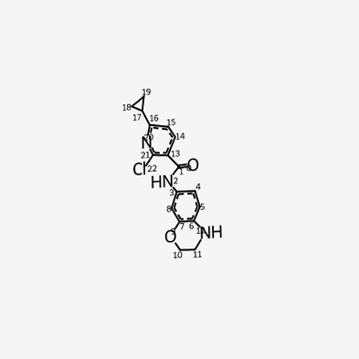 O=C(Nc1ccc2c(c1)OCCN2)c1ccc(C2CC2)nc1Cl